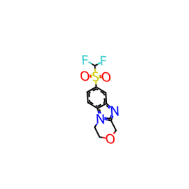 O=S(=O)(c1ccc2c(c1)nc1n2CCOC1)C(F)F